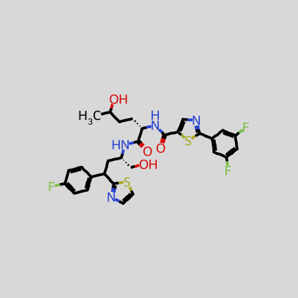 CC(O)CC[C@H](NC(=O)c1cnc(-c2cc(F)cc(F)c2)s1)C(=O)N[C@H](CO)CC(c1ccc(F)cc1)c1nccs1